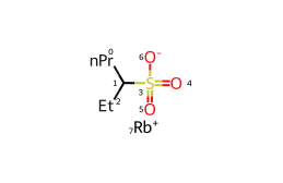 CCCC(CC)S(=O)(=O)[O-].[Rb+]